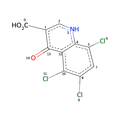 O=C(O)c1c[nH]c2c(Cl)cc(Cl)c(Cl)c2c1=O